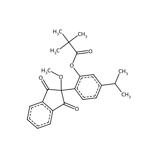 COC1(c2ccc(C(C)C)cc2OC(=O)C(C)(C)C)C(=O)c2ccccc2C1=O